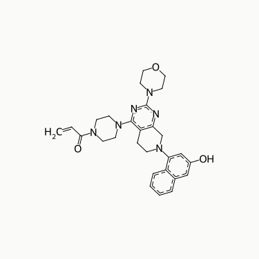 C=CC(=O)N1CCN(c2nc(N3CCOCC3)nc3c2CCN(c2cc(O)cc4ccccc24)C3)CC1